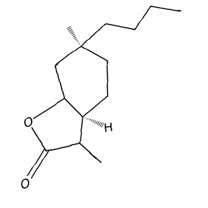 CCCC[C@@]1(C)CC[C@@H]2C(C1)OC(=O)C2C